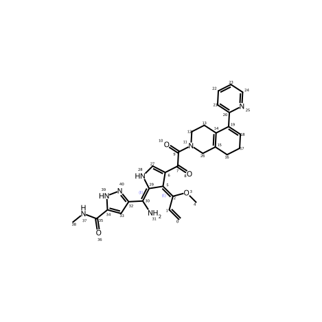 C=C/C(OC)=c1/c(C(=O)C(=O)N2CCC3=C(CCC=C3c3ccccn3)C2)c[nH]/c1=C(/N)c1cc(C(=O)NC)[nH]n1